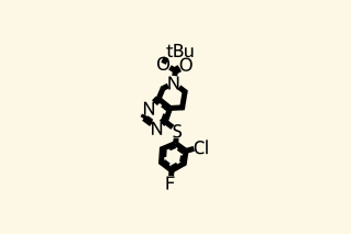 CC(C)(C)OC(=O)N1CCc2c(ncnc2Sc2ccc(F)cc2Cl)C1